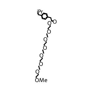 COCCOCCOCCOCCOCCOCCOCCOC(=O)Cc1ccc(CC(C)C)cc1